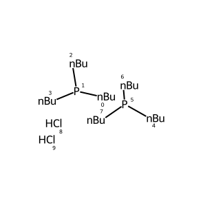 CCCCP(CCCC)CCCC.CCCCP(CCCC)CCCC.Cl.Cl